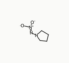 [O][N+]([O-])=NN1CCCC1